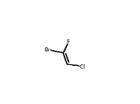 F/C(Br)=C\Cl